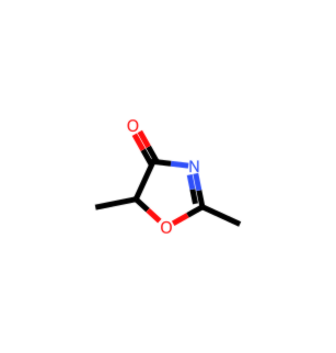 CC1=NC(=O)C(C)O1